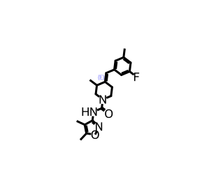 Cc1cc(F)cc(/C=C2\CCN(C(=O)Nc3noc(C)c3C)CC2C)c1